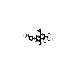 CCc1c(F)c(N2CC[C@H](N)C2)nc2c1c(=O)c(C(=O)O)cn2C1CC1